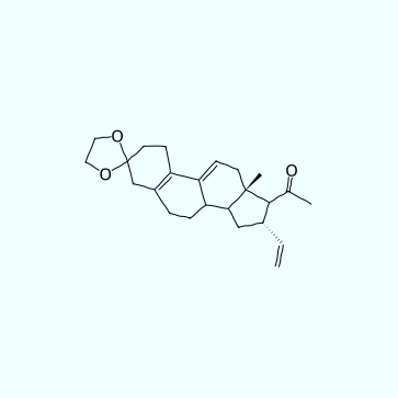 C=C[C@@H]1CC2C3CCC4=C(CCC5(C4)OCCO5)C3=CC[C@]2(C)C1C(C)=O